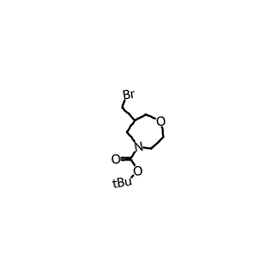 CC(C)(C)OC(=O)N1CCOCC(CBr)C1